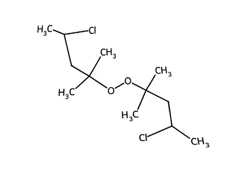 CC(Cl)CC(C)(C)OOC(C)(C)CC(C)Cl